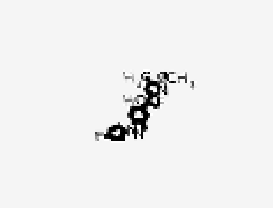 COc1ncc(C(O)(CF)c2ccc3c(cnn3-c3ccc(F)cc3)c2)cc1C